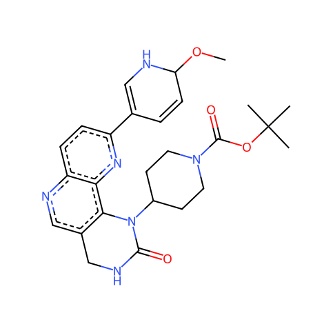 COC1C=CC(c2ccc3ncc4c(c3n2)N(C2CCN(C(=O)OC(C)(C)C)CC2)C(=O)NC4)=CN1